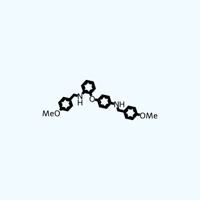 COc1ccc(CNc2ccc(Oc3ccccc3NCc3ccc(OC)cc3)cc2)cc1